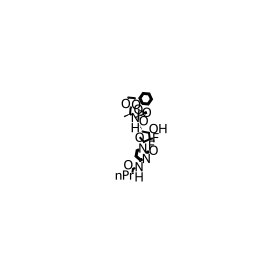 CCCC(=O)Nc1ccn([C@@H]2O[C@H](CO[P@](=O)(N[C@@H](C)C3OCCO3)Oc3ccccc3)[C@@H](O)C2(F)F)c(=O)n1